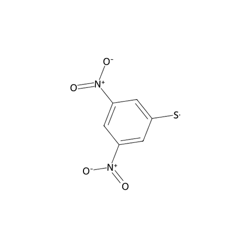 O=[N+]([O-])c1cc([S])cc([N+](=O)[O-])c1